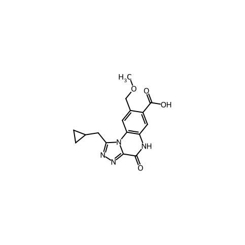 COCc1cc2c(cc1C(=O)O)[nH]c(=O)c1nnc(CC3CC3)n12